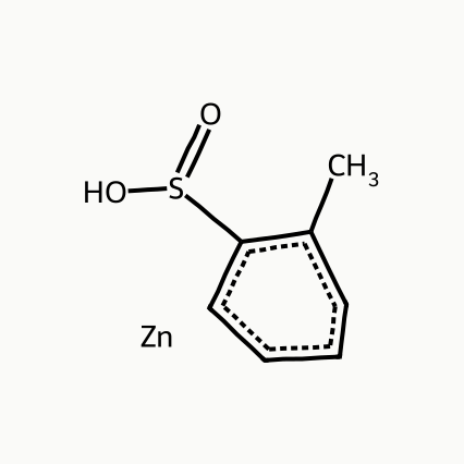 Cc1ccccc1S(=O)O.[Zn]